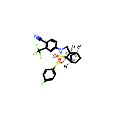 N#Cc1ccc(N2C[C@H]3[C@H]4CC[C@H](C4)[C@@]3(CSc3ccc(F)cc3)S2(=O)=O)cc1C(F)(F)F